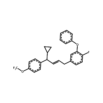 Fc1ccc(C/C=C/C(c2ccc(OC(F)(F)F)cc2)C2CC2)cc1Oc1ccccc1